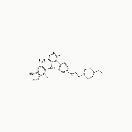 CCN1CCN(CCOc2ccc(-c3c(C)ncc(N)c3Nc3ccc4[nH]ccc4c3C)cc2)CC1